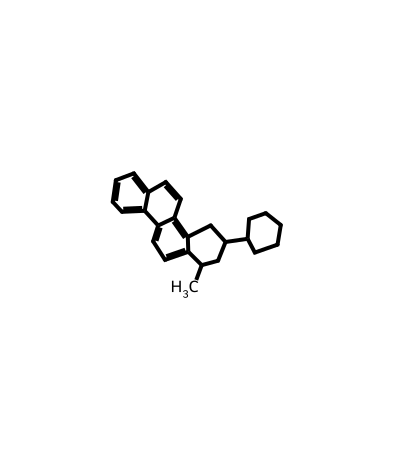 CC1CC(C2CCCCC2)Cc2c1ccc1c2ccc2ccccc21